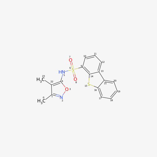 Cc1noc(NS(=O)(=O)c2cccc3c2sc2ccccc23)c1C